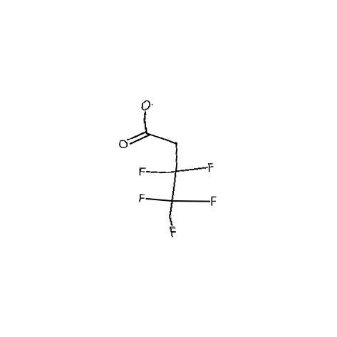 [O]C(=O)CC(F)(F)C(F)(F)F